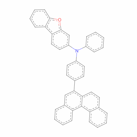 c1ccc(N(c2ccc(-c3cc4ccccc4c4c3ccc3ccccc34)cc2)c2ccc3c(c2)oc2ccccc23)cc1